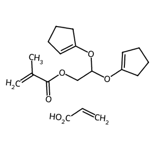 C=C(C)C(=O)OCC(OC1=CCCC1)OC1=CCCC1.C=CC(=O)O